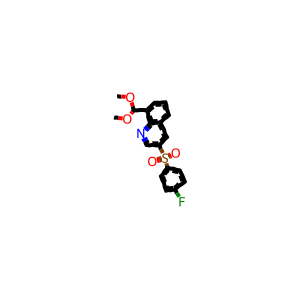 COC(OC)c1cccc2cc(S(=O)(=O)c3ccc(F)cc3)cnc12